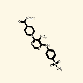 CCCCCC(=O)C1CCN(c2ncnc(Nc3ccc(S(C)(=O)=O)cc3)c2[N+](=O)[O-])CC1